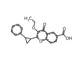 CCOc1c(C2CC2c2ccccc2)oc2ccc(C(=O)O)cc2c1=O